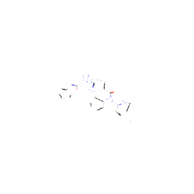 CC1=C(C(=O)Nc2cc(C(=O)O)ccn2)[C@@H](c2ccccc2Cl)N=C(Nc2nc3ccccc3o2)N1